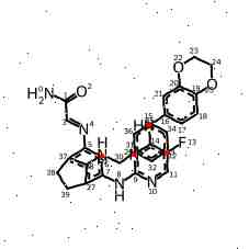 NC(=O)C=Nc1cc(Nc2ncc(F)c(Nc3ccc4c(c3)OCCO4)n2)c2c(NCc3ccccc3)c1CC2